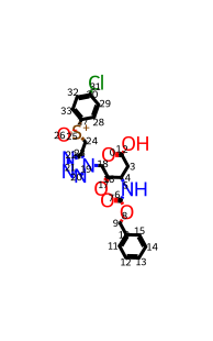 O=C(O)CC(NC(=O)OCc1ccccc1)C(=O)Cn1nnnc1C[S+]([O-])c1ccc(Cl)cc1